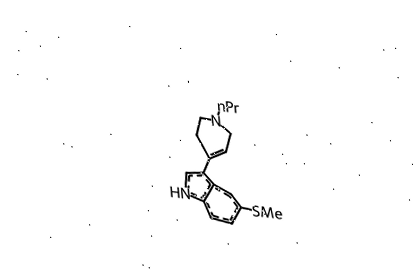 CCCN1CC=C(c2c[nH]c3ccc(SC)cc23)CC1